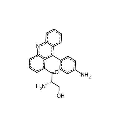 Nc1ccc(-c2c3ccccc3nc3cccc(C(=O)[C@@H](N)CO)c23)cc1